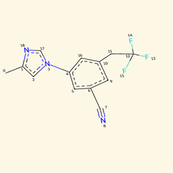 Cc1cn(-c2cc(C#N)cc(CC(F)(F)F)c2)cn1